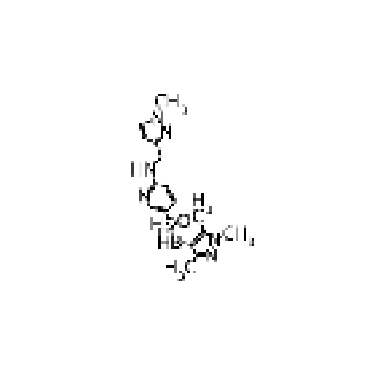 Cc1nn(C)c(C)c1B[SH](=O)(I)c1ccc(NCc2ccn(C)n2)nc1